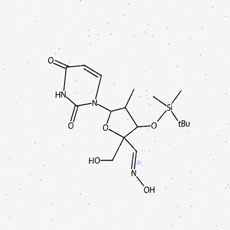 CC1C(n2ccc(=O)[nH]c2=O)OC(/C=N/O)(CO)C1O[Si](C)(C)C(C)(C)C